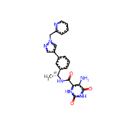 C[C@@H](NC(=O)c1[nH]c(=O)[nH]c(=O)c1N)c1cccc(-c2cnn(Cc3ccccn3)c2)c1